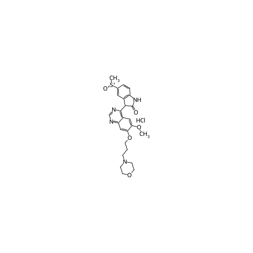 COc1cc2c(C3C(=O)Nc4ccc([S+](C)[O-])cc43)ncnc2cc1OCCCN1CCOCC1.Cl